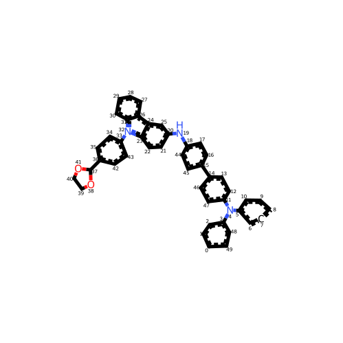 c1ccc(N(c2ccccc2)c2ccc(-c3ccc(Nc4ccc5c(c4)c4ccccc4n5-c4ccc(C5OCCO5)cc4)cc3)cc2)cc1